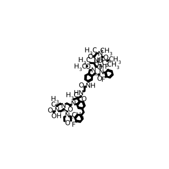 COC(C)C(NC(=O)C(C)N(C)C(=O)OC(C)(C)C)C(=O)N1Cc2ccc(NC(=O)CNC(=O)[C@]3(C)CN(C(=O)CN4C[C@@H](C)N(C(=O)O)C[C@@H]4CN4CCOC[C@H]4C)c4cc(Cc5ccc(F)cc5)ccc43)cc2[C@H]1C(=O)Nc1c(F)cccc1F